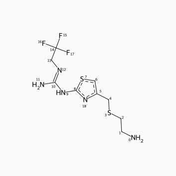 NCCSCc1csc(NC(N)=NCC(F)(F)F)n1